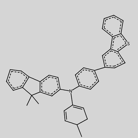 CC1C=CC(N(c2ccc(-c3ccc4sc5ccccc5c4c3)cc2)c2ccc3c(c2)C(C)(C)c2ccccc2-3)=CC1